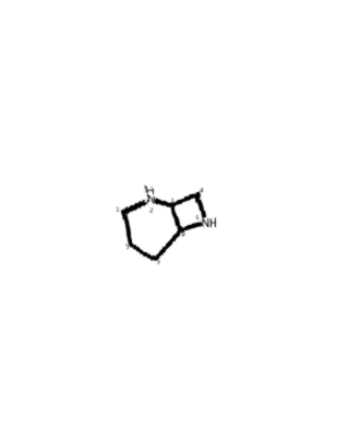 C1CNC2CNC2C1